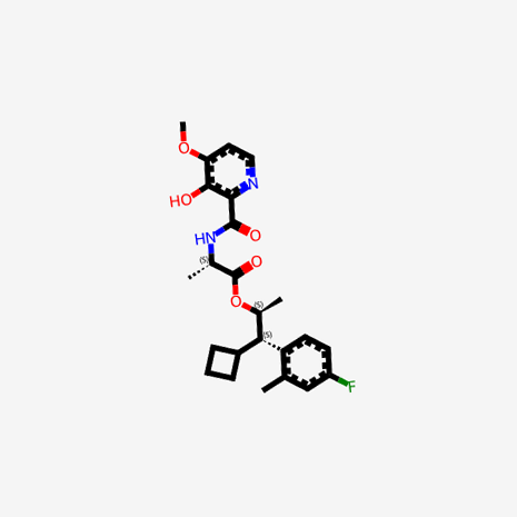 COc1ccnc(C(=O)N[C@@H](C)C(=O)O[C@@H](C)[C@H](c2ccc(F)cc2C)C2CCC2)c1O